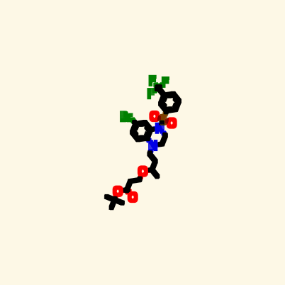 CC(CCN1CCN(S(=O)(=O)c2cccc(C(F)(F)F)c2)c2cc(Br)ccc21)OCCC(=O)OC(C)(C)C